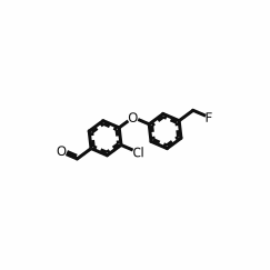 O=Cc1ccc(Oc2cccc(CF)c2)c(Cl)c1